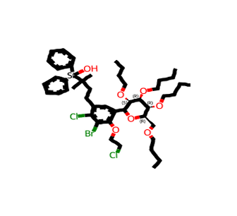 CCCCOC[C@H]1OC(c2cc(CCC(C)(C)[Si](O)(c3ccccc3)c3ccccc3)c(Cl)c(Br)c2OCCCl)[C@H](OCCCC)[C@@H](OCCCC)[C@@H]1OCCCC